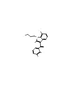 CCc1c(C(=O)c2cccc(Cl)c2Cl)c2cccc(Br)c2n1CCCI